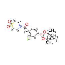 CC1(C)OB(c2ccc(CC(=O)N3CCS(=O)(=O)CC3)c(F)c2)OC1(C)C